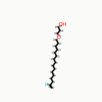 C=C(F)CCCCCCCCCCCCCCOCCCO